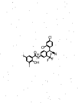 N#CC(c1ccc(Cl)cc1Cl)c1ccc(NC(=O)c2cc(I)cc(I)c2O)cc1C(F)(F)F